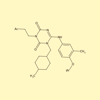 CC(=O)CCn1c(=O)nc(Nc2ccc(OC(C)C)c(C)c2)n(CC2CCC(C)CC2)c1=O